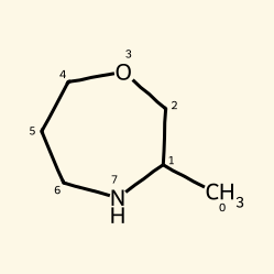 CC1COCCCN1